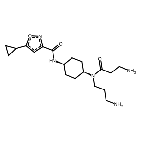 NCCCN(C(=O)CCN)[C@H]1CC[C@@H](NC(=O)c2cc(C3CC3)on2)CC1